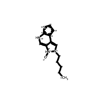 CCCCCN1C=C2C(=CNc3sccc32)[NH+]1[O-]